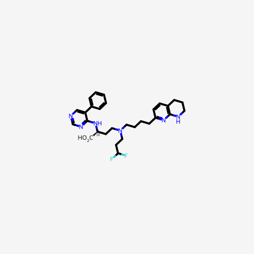 O=C(O)[C@H](CCN(CCCCc1ccc2c(n1)NCCC2)CCC(F)F)Nc1ncncc1-c1ccccc1